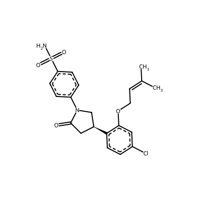 CC(C)=CCOc1cc(Cl)ccc1[C@H]1CC(=O)N(c2ccc(S(N)(=O)=O)cc2)C1